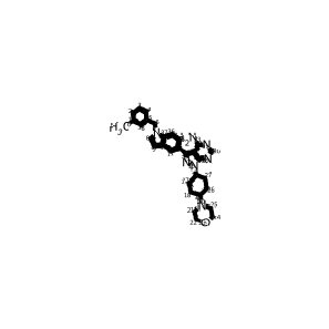 Cc1cccc(Cn2ccc3cc(-c4nn(C5CCC(N6CCOCC6)CC5)c5ncnc(N)c45)ccc32)c1